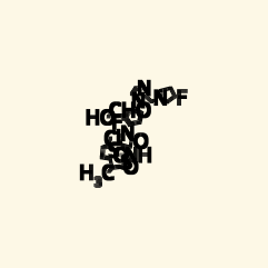 CC(=CS(=O)(=O)NC1CCN(c2ccc(-n3ccnc3CN3CCC(F)C3)cc2F)C1=O)c1ccc(Cl)s1.O=CO